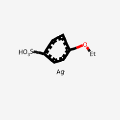 CCOc1ccc(S(=O)(=O)O)cc1.[Ag]